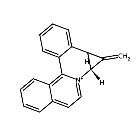 C=C1[C@@H]2c3ccccc3-c3c4ccccc4cc[n+]3[C@@H]12